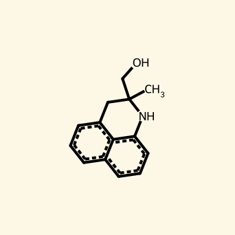 CC1(CO)Cc2cccc3cccc(c23)N1